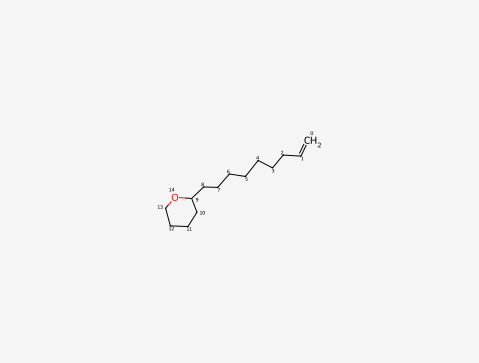 C=CCCCCCCCC1CCCCO1